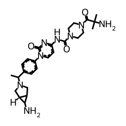 CC(c1ccc(-n2ccc(NC(=O)N3CCN(C(=O)C(C)(C)N)CC3)nc2=O)cc1)N1CC2C(N)[C@@H]2C1